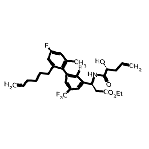 C=CCCCCc1cc(F)cc(C)c1-c1cc(C(F)(F)F)cc([C@H](CC(=O)OCC)NC(=O)[C@H](O)CC=C)c1F